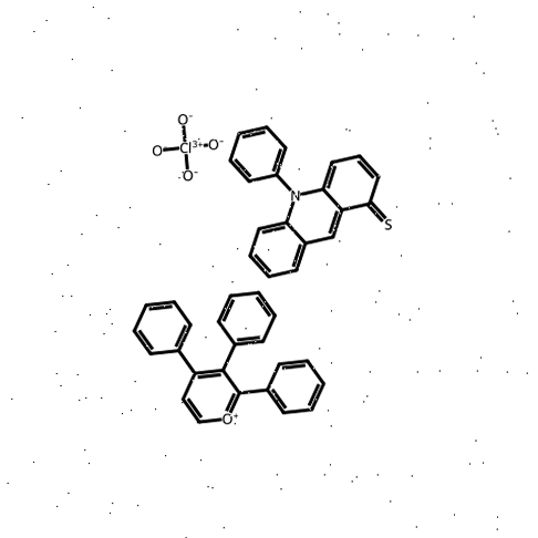 S=c1cccc2n(-c3ccccc3)c3ccccc3cc1-2.[O-][Cl+3]([O-])([O-])[O-].c1ccc(-c2cc[o+]c(-c3ccccc3)c2-c2ccccc2)cc1